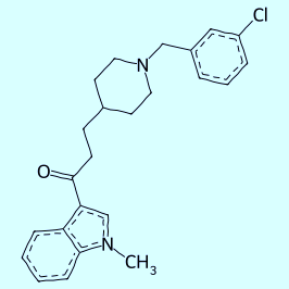 Cn1cc(C(=O)CCC2CCN(Cc3cccc(Cl)c3)CC2)c2ccccc21